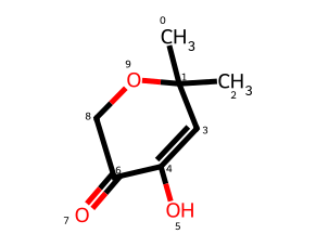 CC1(C)C=C(O)C(=O)CO1